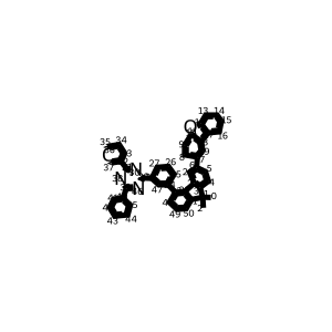 CC1(C)c2ccc(-c3ccc4oc5ccccc5c4c3)cc2-c2c(-c3cccc(-c4nc(-c5ccccc5)nc(-c5ccccc5)n4)c3)cccc21